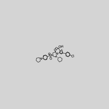 O=C(O)c1sc(-c2ccc(Cl)cc2)cc1N1C(=O)CN(S(=O)(=O)c2ccc(N3CCCCC3)cc2)C[C@H]1C1CCCCC1